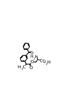 CC(C(=O)OCC(N)C(=O)O)c1cccc(C(=O)c2ccccc2)c1